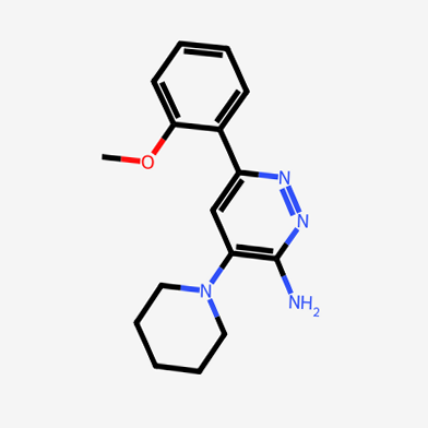 COc1ccccc1-c1cc(N2CCCCC2)c(N)nn1